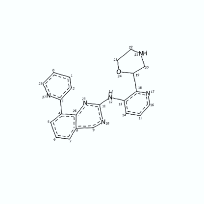 c1ccc(-c2cccc3cnc(Nc4cccnc4C4CNCCO4)nc23)nc1